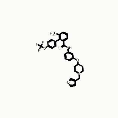 Cc1cccc(C(=O)Nc2cccc(OC3CCN(Cc4ccoc4)CC3)c2)c1-c1ccc(OC(F)(F)F)cc1